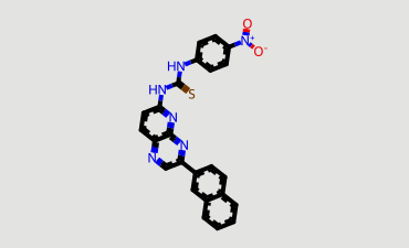 O=[N+]([O-])c1ccc(NC(=S)Nc2ccc3ncc(-c4ccc5ccccc5c4)nc3n2)cc1